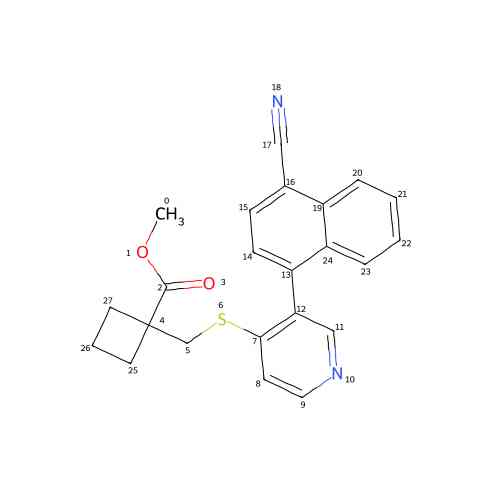 COC(=O)C1(CSc2ccncc2-c2ccc(C#N)c3ccccc23)CCC1